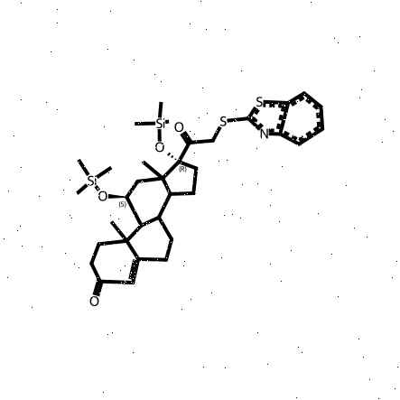 CC12CCC(=O)C=C1CCC1C2[C@@H](O[Si](C)(C)C)CC2(C)C1CC[C@]2(O[Si](C)(C)C)C(=O)CSc1nc2ccccc2s1